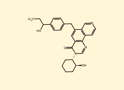 CCC(O)c1ccc(Cc2cc3c(=O)n([C@H]4CCCC[C@@H]4O)cnc3c3ccncc23)cc1